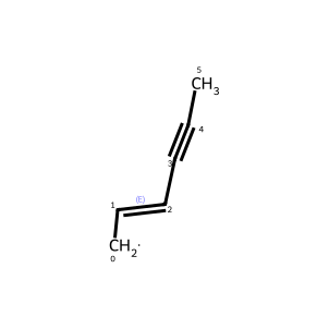 [CH2]/C=C/C#CC